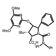 COc1cc(OC)nc(OC2C(c3ccccc3)N(C(=O)N(C(C)C)C(C)C)[C@@H](C(=O)O)[C@@H]2C(C)(C)C)n1